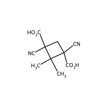 CC1(C)C(C#N)(C(=O)O)CC1(C#N)C(=O)O